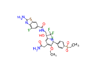 CCOc1c(CC(N)=O)cc([C@@](O)(CNC(=O)c2cc(F)c3nc(N)sc3c2)C(F)(F)F)nc1-c1ccc(S(=O)(=O)CC)cc1